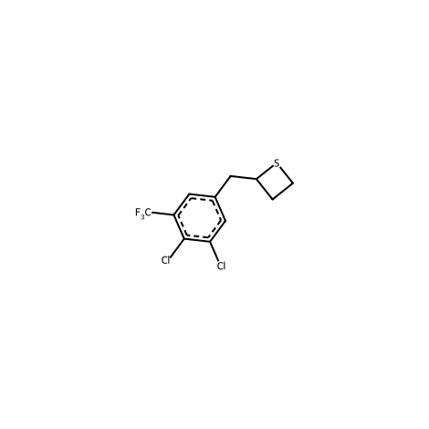 FC(F)(F)c1cc(CC2CCS2)cc(Cl)c1Cl